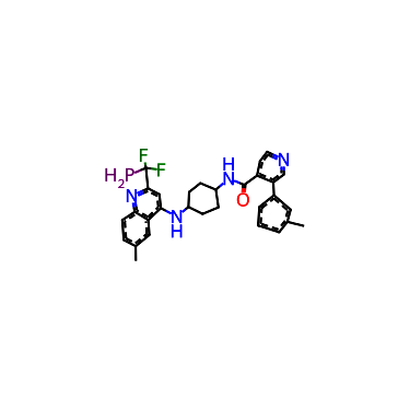 Cc1cccc(-c2cnccc2C(=O)NC2CCC(Nc3cc(C(F)(F)P)nc4ccc(C)cc34)CC2)c1